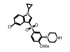 COc1ccc(S(=O)(=O)c2cn(C3CC3)c3ccc(Cl)cc23)cc1N1CCNCC1